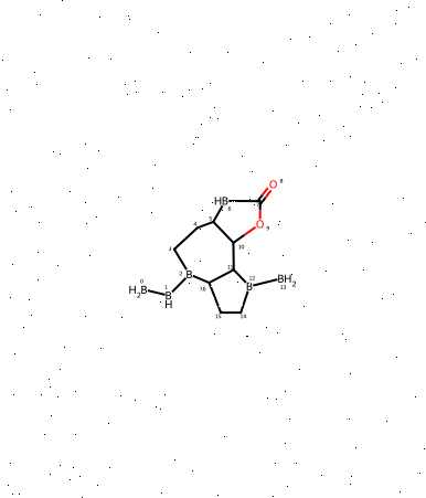 BBB1CCC2BC(=O)OC2C2B(B)CCC12